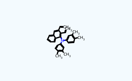 C=Cc1cc2ccccc2c(N(c2ccc(C)c(C)c2)c2ccc(C)c(C)c2)c1C=C